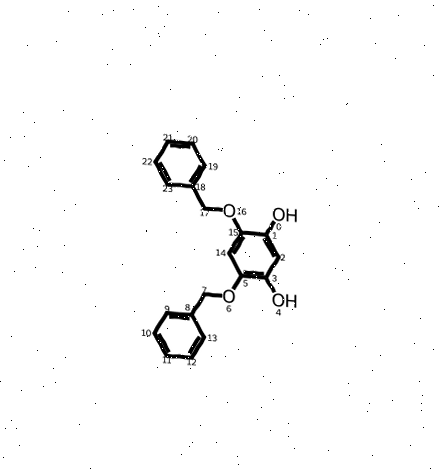 Oc1cc(O)c(OCc2ccccc2)cc1OCc1ccccc1